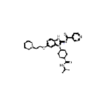 CC(C)NC(=O)[C@H]1CC[C@@H](n2/c(=N/C(=O)c3ccncc3)[nH]c3cnc(OCCN4CCCCC4)cc32)CC1